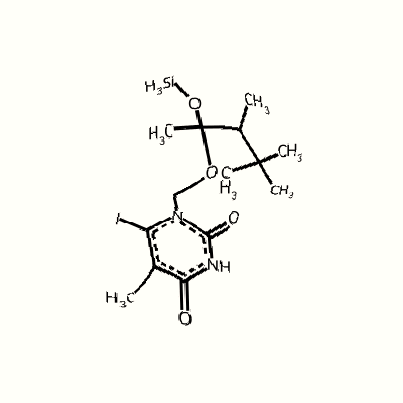 Cc1c(I)n(COC(C)(O[SiH3])C(C)C(C)(C)C)c(=O)[nH]c1=O